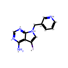 Nc1ncnc2c1c(I)cn2Cc1cccnc1